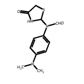 CN(C)c1ccc(N(C=O)C2NC(=O)CS2)cc1